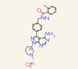 Cc1ccccc1C(=O)NCc1ccc(-c2nn([C@@H]3CCCN(C[C@@H]4CO4)C3)c3ncnc(N)c23)cc1